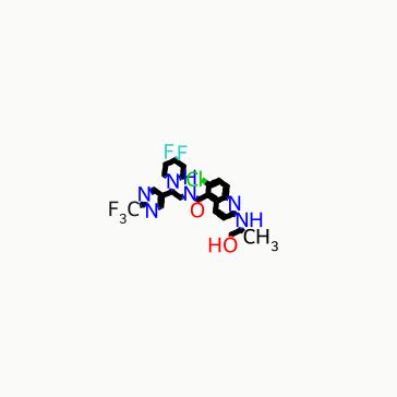 CC(CO)Nc1ccc2c(C(=O)NCC(c3cnc(C(F)(F)F)nc3)N3CCC(F)(F)CC3)c(Cl)ccc2n1